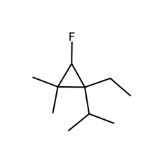 CCC1(C(C)C)C(F)C1(C)C